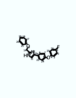 Fc1ccc(Oc2ccc(-c3c[nH]c(COc4ccccc4)n3)cc2)cc1